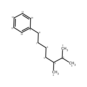 C[C](C)C(C)CCCCc1ccccc1